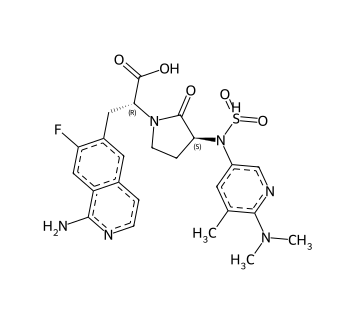 Cc1cc(N([C@H]2CCN([C@H](Cc3cc4ccnc(N)c4cc3F)C(=O)O)C2=O)[SH](=O)=O)cnc1N(C)C